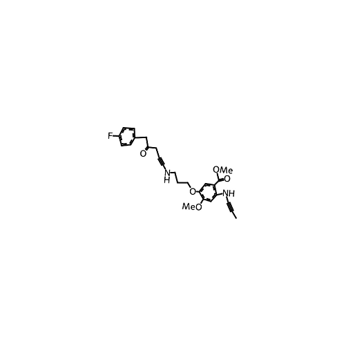 CC#CNc1cc(OC)c(OCCCNC#CCC(=O)Cc2ccc(F)cc2)cc1C(=O)OC